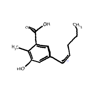 CCC/C=C\c1cc(O)c(C)c(C(=O)O)c1